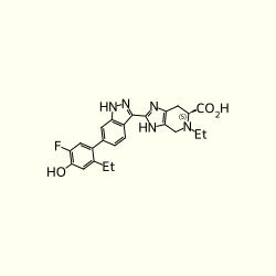 CCc1cc(O)c(F)cc1-c1ccc2c(-c3nc4c([nH]3)CN(CC)[C@H](C(=O)O)C4)n[nH]c2c1